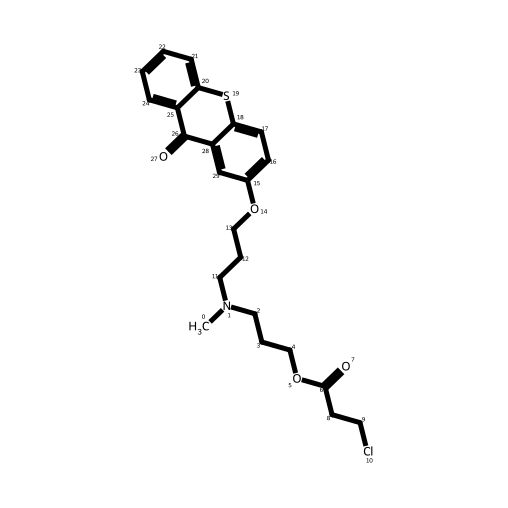 CN(CCCOC(=O)CCCl)CCCOc1ccc2sc3ccccc3c(=O)c2c1